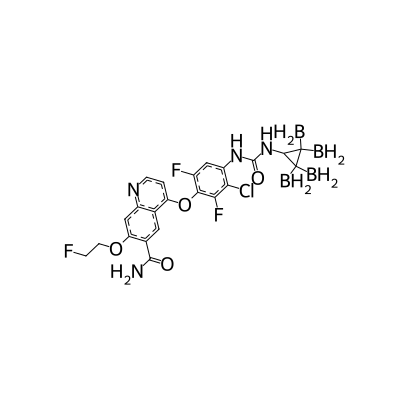 BC1(B)C(NC(=O)Nc2cc(F)c(Oc3ccnc4cc(OCCF)c(C(N)=O)cc34)c(F)c2Cl)C1(B)B